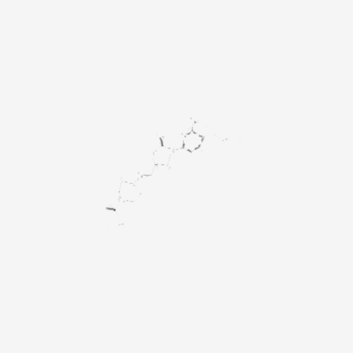 CCOC(=O)COc1ccc(N2CC(CNC3CCN(C(=O)OC(C)(C)C)CC3)OC2=O)nc1[N+](=O)[O-]